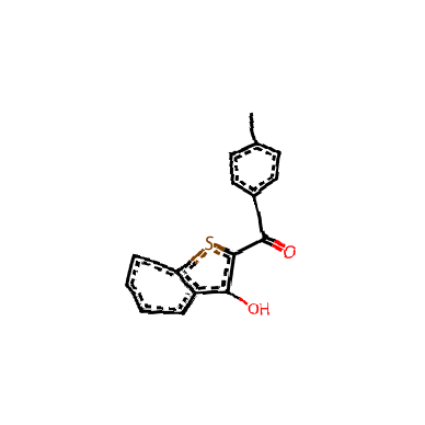 Cc1ccc(C(=O)c2sc3ccccc3c2O)cc1